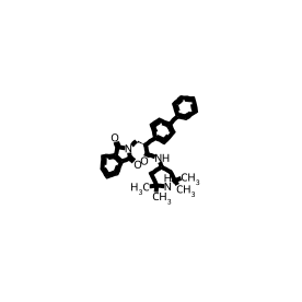 CC1(C)CC(NC(=O)[C@H](CN2C(=O)c3ccccc3C2=O)c2ccc(-c3ccccc3)cc2)CC(C)(C)N1